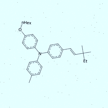 CCCCCCOc1ccc(N(c2ccc(C)cc2)c2ccc(C=CC(C)(C)CC)cc2)cc1